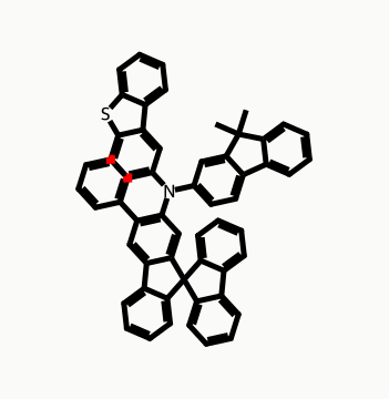 CC1(C)c2ccccc2-c2ccc(N(c3ccc4sc5ccccc5c4c3)c3cc4c(cc3-c3ccccc3)-c3ccccc3C43c4ccccc4-c4ccccc43)cc21